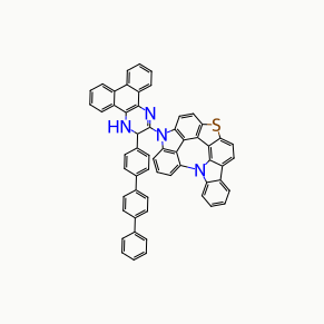 c1ccc(-c2ccc(-c3ccc(C4Nc5c(c6ccccc6c6ccccc56)N=C4n4c5ccc6sc7ccc8c9ccccc9n9c%10cccc4c%10c5c6c7c89)cc3)cc2)cc1